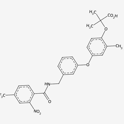 Cc1cc(Oc2cccc(CNC(=O)c3ccc(C(F)(F)F)cc3[N+](=O)[O-])c2)ccc1OC(C)(C)C(=O)O